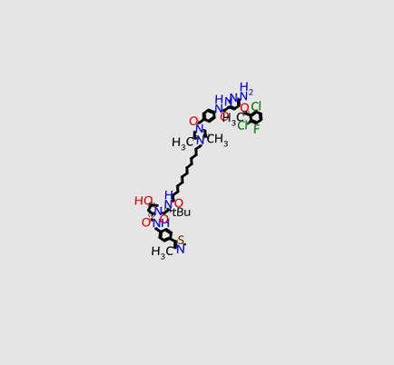 Cc1ncsc1-c1ccc(CNC(=O)[C@@H]2C[C@@H](O)CN2C(=O)[C@@H](NC(=O)CCCCCCCCCCCCN2[C@H](C)CN(C(=O)c3ccc(NC(=O)c4cc(O[C@H](C)c5c(Cl)ccc(F)c5Cl)c(N)nn4)cc3)C[C@@H]2C)C(C)(C)C)cc1